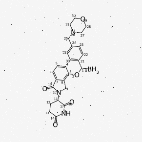 BC(Oc1cccc2c1CN(C1CCC(=O)NC1=O)C2=O)c1ccc(CN2CCOCC2)cc1